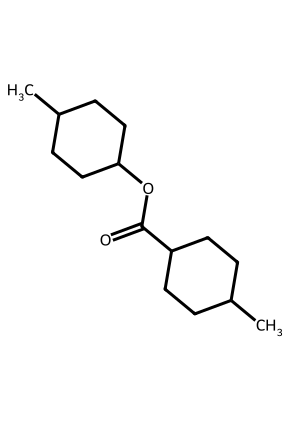 CC1CCC(OC(=O)C2CCC(C)CC2)CC1